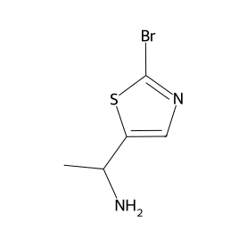 CC(N)c1cnc(Br)s1